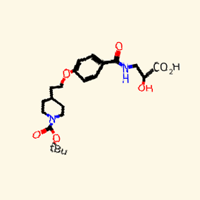 CC(C)(C)OC(=O)N1CCC(CCOc2ccc(C(=O)NCC(O)C(=O)O)cc2)CC1